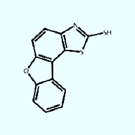 Sc1nc2ccc3oc4ccccc4c3c2s1